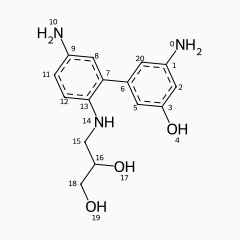 Nc1cc(O)cc(-c2cc(N)ccc2NCC(O)CO)c1